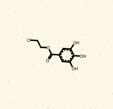 O=C(OCCCl)c1cc(O)c(O)c(O)c1